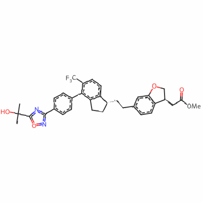 COC(=O)C[C@@H]1COc2cc(CC[C@@H]3CCc4c3ccc(C(F)(F)F)c4-c3ccc(-c4noc(C(C)(C)O)n4)cc3)ccc21